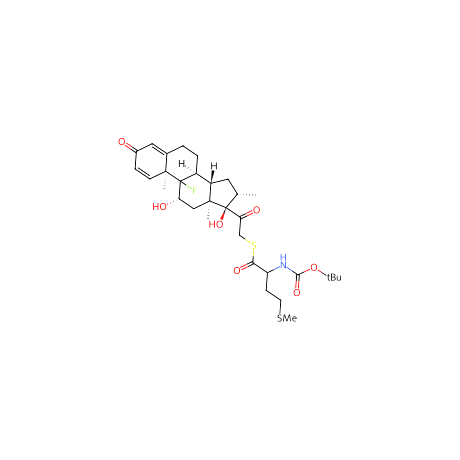 CSCCC(NC(=O)OC(C)(C)C)C(=O)SCC(=O)[C@@]1(O)[C@@H](C)C[C@H]2[C@@H]3CCC4=CC(=O)C=C[C@]4(C)C3(F)[C@@H](O)C[C@@]21C